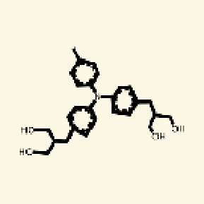 Cc1ccc(N(c2ccc(CC(CO)CO)cc2)c2ccc(CC(CO)CO)cc2)cc1